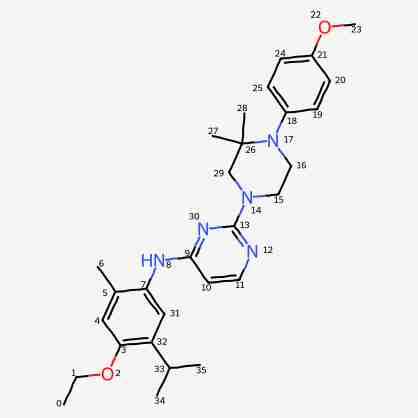 CCOc1cc(C)c(Nc2ccnc(N3CCN(c4ccc(OC)cc4)C(C)(C)C3)n2)cc1C(C)C